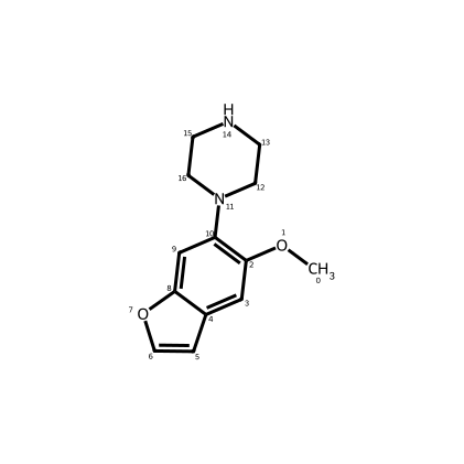 COc1cc2ccoc2cc1N1CCNCC1